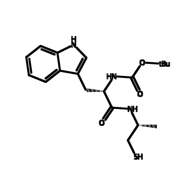 C[C@H](CS)NC(=O)[C@H](Cc1c[nH]c2ccccc12)NC(=O)OC(C)(C)C